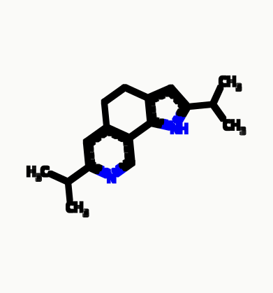 CC(C)c1cc2c(cn1)-c1[nH]c(C(C)C)cc1CC2